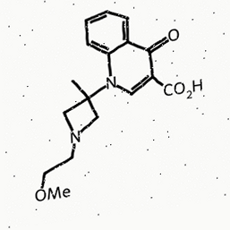 COCCN1CC(C)(n2cc(C(=O)O)c(=O)c3ccccc32)C1